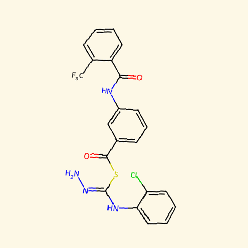 NN=C(Nc1ccccc1Cl)SC(=O)c1cccc(NC(=O)c2ccccc2C(F)(F)F)c1